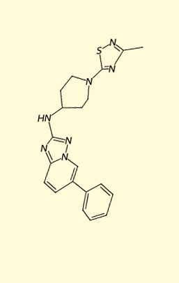 Cc1nsc(N2CCC(Nc3nc4ccc(-c5ccccc5)cn4n3)CC2)n1